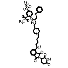 NS(=O)(=O)c1ccc(N[C@H](CCN2CCN(CCCCNc3cccc4c3C(=O)N(C3CCC(=O)NC3=O)C4=O)CC2)CSc2ccccc2)c(S(=O)(=O)C(F)(F)F)c1